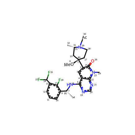 CO[C@]1(c2cc3c(N[C@H](C)c4cccc(C(F)F)c4F)ncnc3n(C)c2=O)CCN(C(C)=O)[C@@H](C)C1